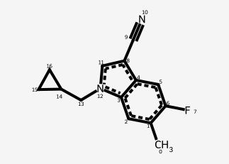 Cc1cc2c(cc1F)c(C#N)cn2CC1CC1